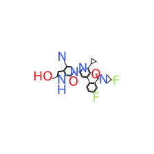 N#Cc1cn(-c2cc(-c3ccc(F)cc3C(=O)N3CC(F)C3)cc(C3CC3)n2)c(=O)c2[nH]c(CO)cc12